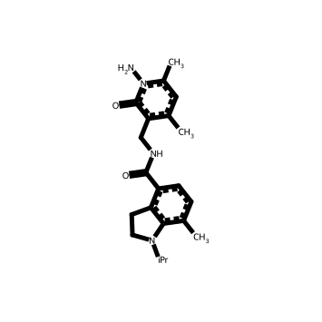 Cc1ccc(C(=O)NCc2c(C)cc(C)n(N)c2=O)c2c1N(C(C)C)CC2